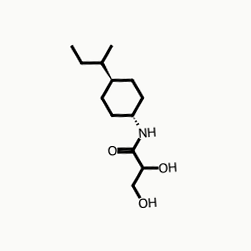 CCC(C)[C@H]1CC[C@H](NC(=O)C(O)CO)CC1